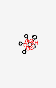 OC12CC=CCOC1C(OCc1ccccc1)C(OCc1ccccc1)C(OCc1ccccc1)C2OCc1ccccc1